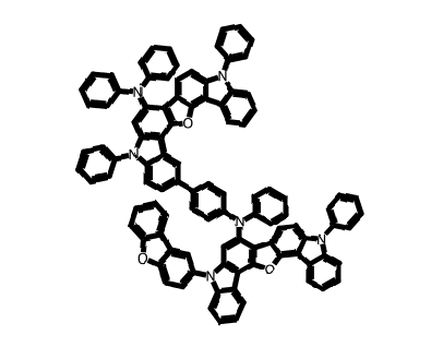 c1ccc(N(c2ccc(-c3ccc4c(c3)c3c5oc6c(ccc7c6c6ccccc6n7-c6ccccc6)c5c(N(c5ccccc5)c5ccccc5)cc3n4-c3ccccc3)cc2)c2cc3c(c4ccccc4n3-c3ccc4oc5ccccc5c4c3)c3oc4c(ccc5c4c4ccccc4n5-c4ccccc4)c23)cc1